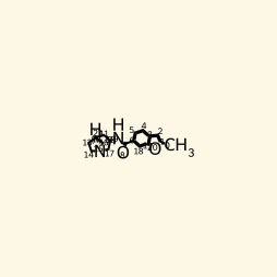 Cc1cc2ccc(C(=O)N[C@@H]3C[C@H]4CCN(C4)C3)cc2o1